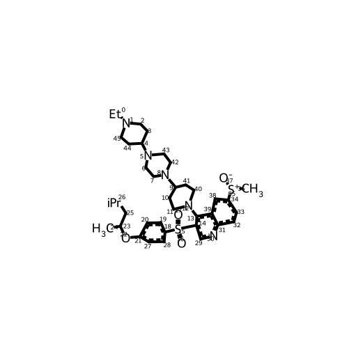 CCN1CCC(N2CCN(C3CCN(c4c(S(=O)(=O)c5ccc(OC(C)CC(C)C)cc5)cnc5ccc([S+](C)[O-])cc45)CC3)CC2)CC1